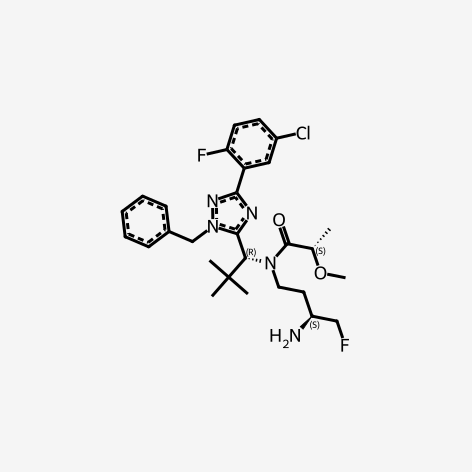 CO[C@@H](C)C(=O)N(CC[C@H](N)CF)[C@@H](c1nc(-c2cc(Cl)ccc2F)nn1Cc1ccccc1)C(C)(C)C